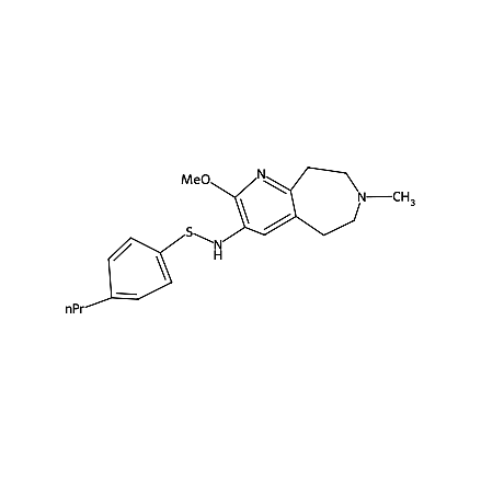 CCCc1ccc(SNc2cc3c(nc2OC)CCN(C)CC3)cc1